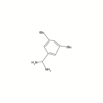 CC(C)(C)c1cc(C(N)N)cc(C(C)(C)C)c1